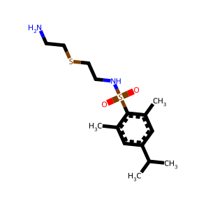 Cc1cc(C(C)C)cc(C)c1S(=O)(=O)NCCSCCN